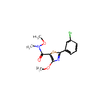 COc1nc(-c2cccc(Br)c2)sc1C(=O)N(C)OC